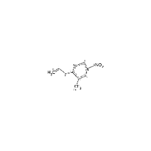 C=CCc1ccc([N+](=O)[O-])cc1C(F)(F)F